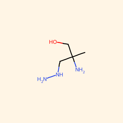 CC(N)(CO)CNN